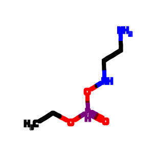 CCO[PH](=O)ONCCN